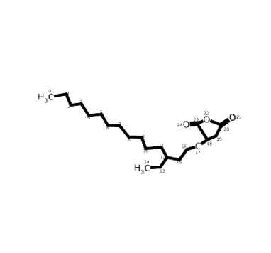 CCCCCCCCCCCCC(CC)CCCC1CC(=O)OC1=O